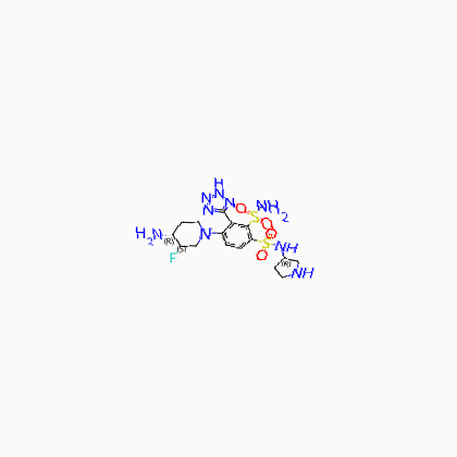 N[C@@H]1CCN(c2ccc(S(=O)(=O)N[C@@H]3CCNC3)c(S(N)(=O)=O)c2-c2nn[nH]n2)C[C@@H]1F